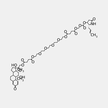 C/C=C/C[C@H]1NC(=O)C[C@@H]1OC(=O)OCOC(=O)CCC(=O)OCCOCCOCCOCCOCCOC(=O)CCC(=O)OCC(=O)[C@@]1(O)CCC2C3CCC4=CC(=O)C=C[C@]4(C)C3[C@@H](O)C[C@@]21C